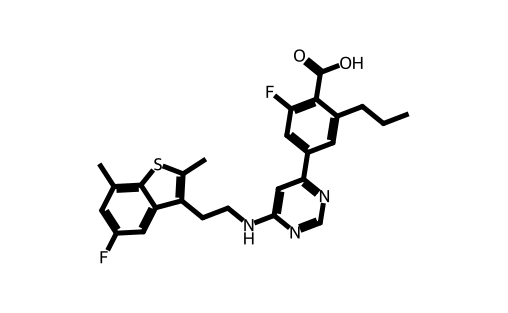 CCCc1cc(-c2cc(NCCc3c(C)sc4c(C)cc(F)cc34)ncn2)cc(F)c1C(=O)O